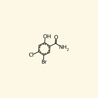 NC(=O)c1cc(Br)c(Cl)cc1O